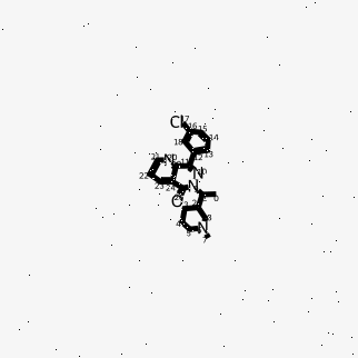 CC(C1CCCN(C)C1)n1nc(-c2cccc(Cl)c2)c2ncccc2c1=O